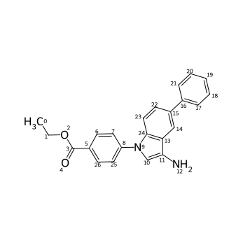 CCOC(=O)c1ccc(-n2cc(N)c3cc(-c4ccccc4)ccc32)cc1